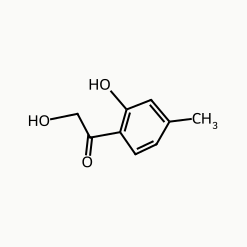 Cc1ccc(C(=O)CO)c(O)c1